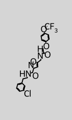 O=C(COc1ccc(OC(F)(F)F)cc1)NCc1cc(C(=O)NCCc2cccc(Cl)c2)no1